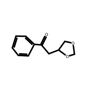 O=C(CC1COCO1)c1ccccc1